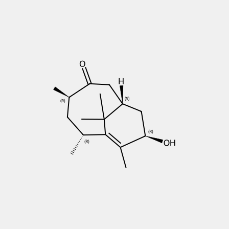 CC1=C2[C@H](C)C[C@@H](C)C(=O)C[C@H](C[C@H]1O)C2(C)C